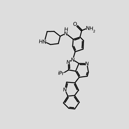 CC(C)c1nn(-c2ccc(C(N)=O)c(NC3CCNCC3)c2)c2nccc(-c3cnc4ccccc4c3)c12